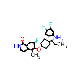 CC[C@@H](N)[C@]1(c2ccc(F)c(F)c2)CC[C@@H](Oc2c(F)cc3c(=O)[nH]ccc3c2C)CC1